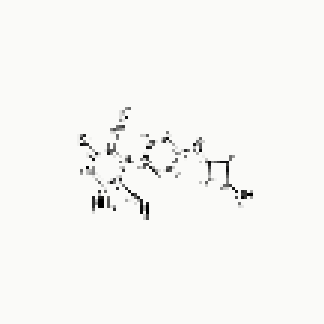 N#Cc1c(N)nc(S)c(C#N)c1-c1ccc(OC2CC(O)C2)cc1